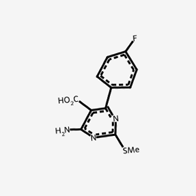 CSc1nc(N)c(C(=O)O)c(-c2ccc(F)cc2)n1